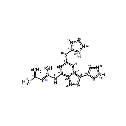 C=C(C)/C=C(\S)Nc1nc(Sc2ncn[nH]2)cn2c(-c3cn[nH]c3)cnc12